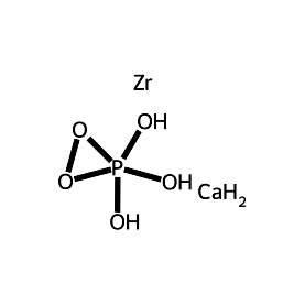 OP1(O)(O)OO1.[CaH2].[Zr]